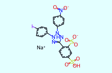 O=[N+]([O-])c1ccc(N2NC(c3ccc(S(=O)(=O)O)cc3S(=O)(=O)[O-])=NN2c2ccc(I)cc2)cc1.[Na+]